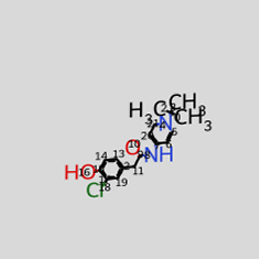 CC(C)(C)N1C=CC(NC(=O)Cc2ccc(O)c(Cl)c2)=CC1